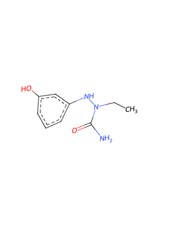 CCN(Nc1cccc(O)c1)C(N)=O